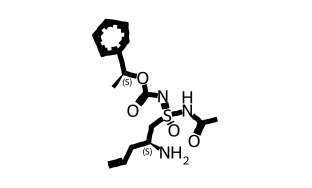 C=CC[C@H](N)CS(=O)(=NC(=O)O[C@@H](C)c1ccccc1)NC(C)=O